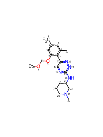 CCOCOc1cc(C(F)(F)F)cc(C)c1-c1cnc(NC2CCCN(C)C2)nn1